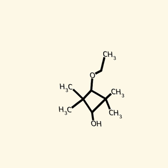 CCOC1C(C)(C)C(O)C1(C)C